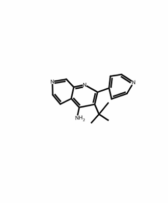 CC(C)(C)c1c(-c2ccncc2)nc2cnccc2c1N